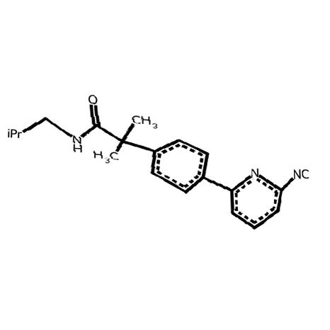 [C-]#[N+]c1cccc(-c2ccc(C(C)(C)C(=O)NCC(C)C)cc2)n1